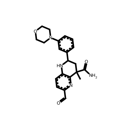 CC1(C(N)=O)CC(c2cccc(N3CCOCC3)c2)Nc2ccc([C]=O)nc21